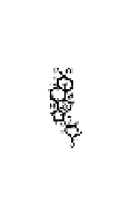 CCC1(O)CC[C@@]2(C)[C@H](CC[C@@H]3[C@@H]2CC[C@]2(C)[C@@H](C4=COC(=O)C4)CC[C@]32O)C1